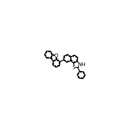 c1ccc(C2Nc3ccc4ccc(-c5cccc6c5oc5ccccc56)cc4c3S2)cc1